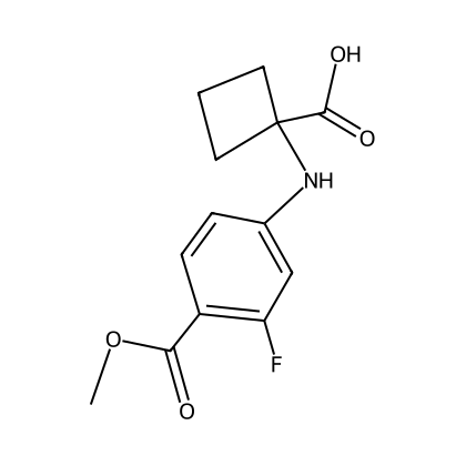 COC(=O)c1ccc(NC2(C(=O)O)CCC2)cc1F